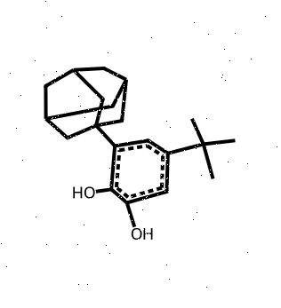 CC(C)(C)c1cc(O)c(O)c(C23CC4CC(CC(C4)C2)C3)c1